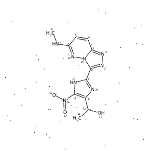 CNc1ccc2nnc(-c3nc(C(C)O)c([N+](=O)[O-])[nH]3)n2n1